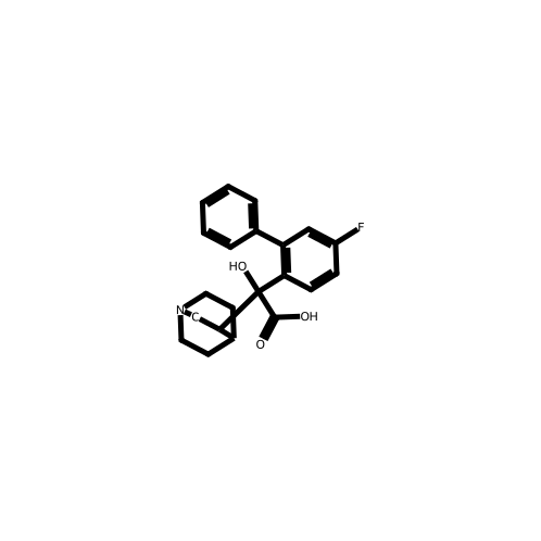 O=C(O)C(O)(c1ccc(F)cc1-c1ccccc1)C1CN2CCC1CC2